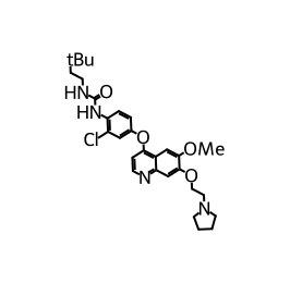 COc1cc2c(Oc3ccc(NC(=O)NCCC(C)(C)C)c(Cl)c3)ccnc2cc1OCCN1CCCC1